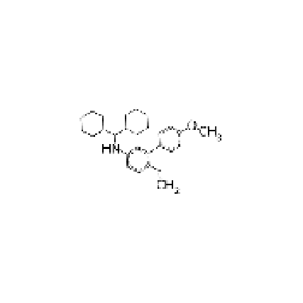 C=Cc1ccc(NC(C2CCCCC2)C2CCCCC2)cc1-c1ccc(OC)cc1